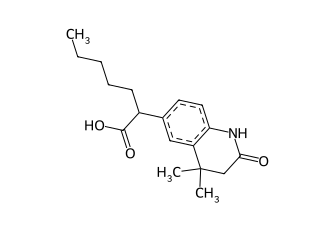 CCCCCC(C(=O)O)c1ccc2c(c1)C(C)(C)CC(=O)N2